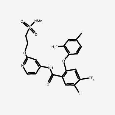 CNS(=O)(=O)CCOc1cc(NC(=O)c2cc(Cl)c(C(F)(F)F)cc2Oc2ccc(F)cc2C)ccn1